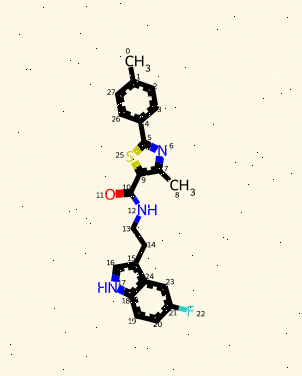 Cc1ccc(-c2nc(C)c(C(=O)NCCc3c[nH]c4ccc(F)cc34)s2)cc1